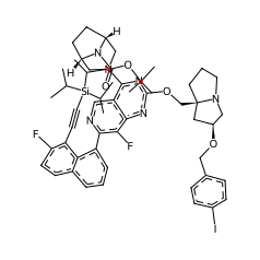 CC(C)[Si](C#Cc1c(F)ccc2cccc(-c3ncc4c(N5C[C@H]6CC[C@@H](C5)N6C(=O)OC(C)(C)C)nc(OC[C@@]56CCCN5C[C@@H](OCc5ccc(I)cc5)C6)nc4c3F)c12)(C(C)C)C(C)C